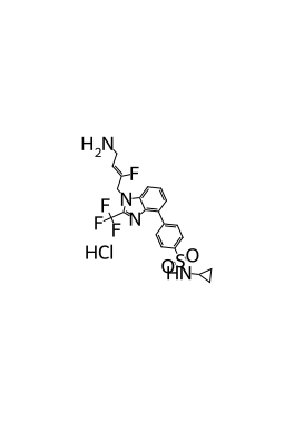 Cl.NCC=C(F)Cn1c(C(F)(F)F)nc2c(-c3ccc(S(=O)(=O)NC4CC4)cc3)cccc21